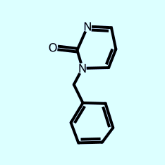 O=c1ncccn1Cc1ccccc1